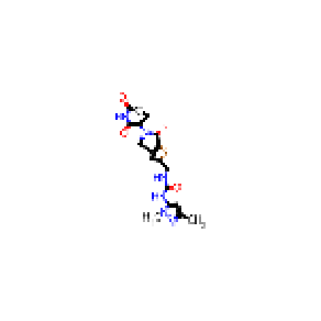 Cc1cc(NC(=O)NCc2cc3c(s2)C(=O)N(C2CCC(=O)NC2=O)C3)n(C)n1